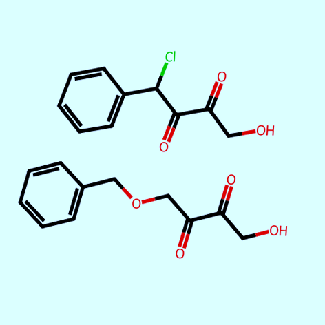 O=C(CO)C(=O)C(Cl)c1ccccc1.O=C(CO)C(=O)COCc1ccccc1